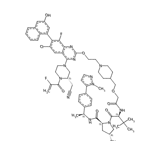 C=C(F)C(=O)N1CCN(c2nc(OCCN3CCC(COCC(=O)N[C@H](C(=O)N4C[C@H](O)C[C@H]4C(=O)N[C@@H](C)c4ccc(-c5ccnn5C)cc4)C(C)(C)C)CC3)nc3c(F)c(-c4cc(O)cc5ccccc45)c(Cl)cc23)C[C@@H]1CC#N